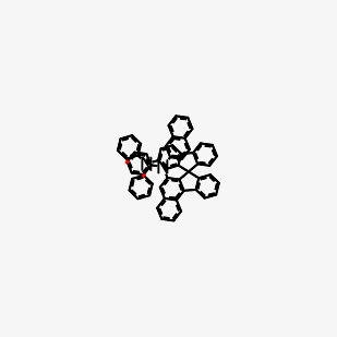 c1ccc(N(c2ccccc2)c2ccc3c(c2)C2(c4ccccc4-3)c3ccccc3-c3c2c(N(c2ccccc2)c2ccc4ccccc4c2)cc2ccccc32)cc1